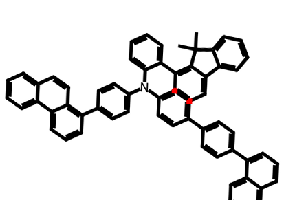 CC1(C)c2ccccc2-c2cccc(-c3ccccc3N(c3ccc(-c4ccc(-c5cccc6ccccc56)cc4)cc3)c3ccc(-c4cccc5c4ccc4ccccc45)cc3)c21